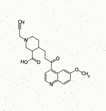 C#CCN1CCC(CCC(=O)c2ccnc3ccc(OC)cc23)C(C(=O)O)C1